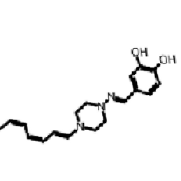 C\C=C/C=C\C=C\N1CCN(/N=C/c2ccc(O)c(O)c2)CC1